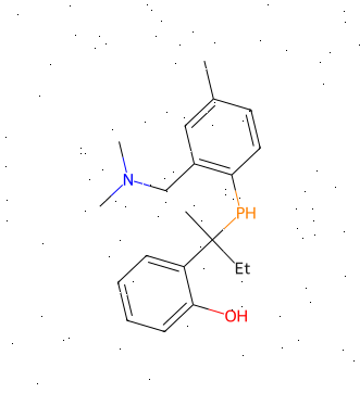 CCC(C)(Pc1ccc(C)cc1CN(C)C)c1ccccc1O